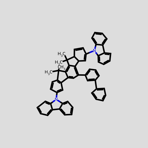 CC1(C)c2ccc(-n3c4ccccc4c4ccccc43)cc2-c2cc(-c3cccc(-c4ccccc4)c3)c3c(c21)C(C)(C)C1C=CC(n2c4ccccc4c4ccccc42)=CC31